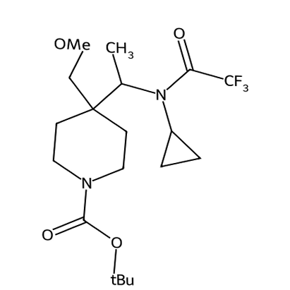 COCC1(C(C)N(C(=O)C(F)(F)F)C2CC2)CCN(C(=O)OC(C)(C)C)CC1